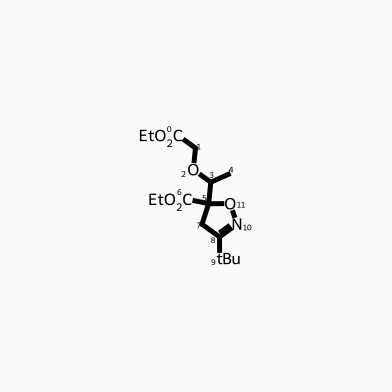 CCOC(=O)COC(C)C1(C(=O)OCC)CC(C(C)(C)C)=NO1